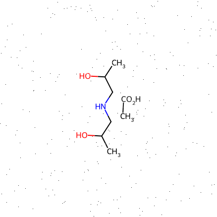 CC(=O)O.CC(O)CNCC(C)O